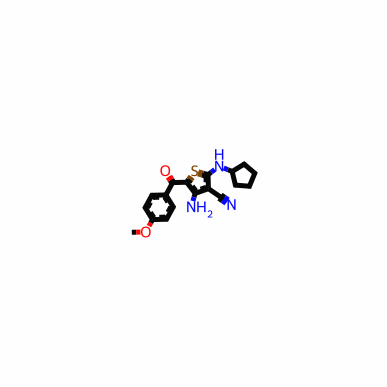 COc1ccc(C(=O)c2sc(NC3CCCC3)c(C#N)c2N)cc1